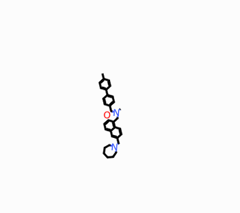 Cc1ccc(-c2ccc(C(=O)N(C)Cc3cccc4cc(CN5CCCCCC5)ccc34)cc2)cc1